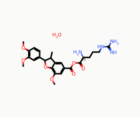 COc1ccc(C2Oc3c(OC)cc(C(=O)OC(=O)[C@@H](N)CCCNC(=N)N)cc3C2C)cc1OC.O